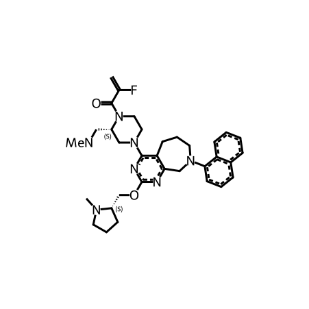 C=C(F)C(=O)N1CCN(c2nc(OC[C@@H]3CCCN3C)nc3c2CCCN(c2cccc4ccccc24)C3)C[C@@H]1CNC